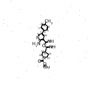 Cc1ccc(-c2cnc(N)c(C(=N)OC(=N)C3CCN(C(=O)OC(C)(C)C)CC3)c2)cc1